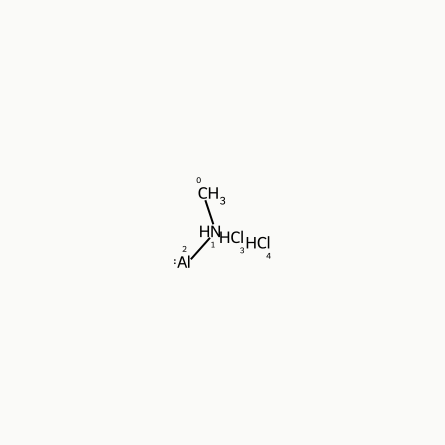 C[NH][Al].Cl.Cl